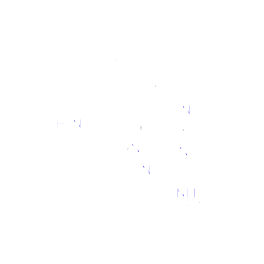 NCc1ccccc1-c1nnc(N)nc1N